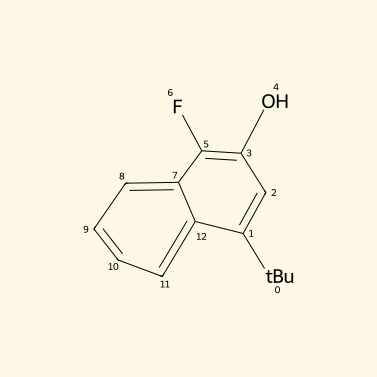 CC(C)(C)c1cc(O)c(F)c2ccccc12